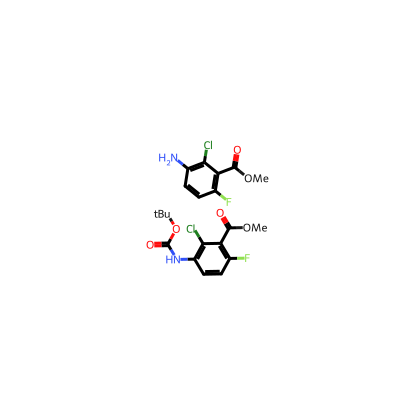 COC(=O)c1c(F)ccc(N)c1Cl.COC(=O)c1c(F)ccc(NC(=O)OC(C)(C)C)c1Cl